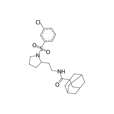 O=C(NCCC1CCCN1S(=O)(=O)c1cccc(Cl)c1)C12CC3CC(CC(C3)C1)C2